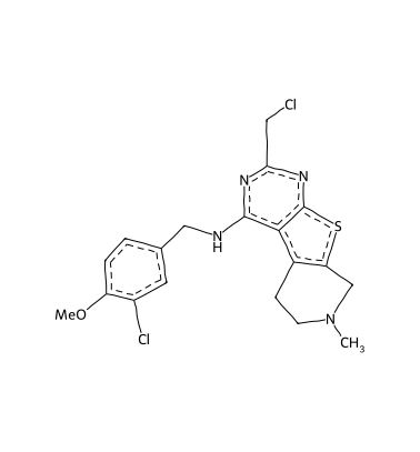 COc1ccc(CNc2nc(CCl)nc3sc4c(c23)CCN(C)C4)cc1Cl